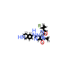 O=c1c2cnc(Nc3ccc4c(c3)CCNC4)nc2n(-c2nc(C3(CF)CC3)co2)n1C1CC1